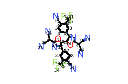 N#Cc1ccc(-c2nc(C(C#N)C#N)oc2-c2oc(C(C#N)C#N)nc2-c2ccc(C#N)c(C(F)(F)F)c2)cc1C(F)(F)F